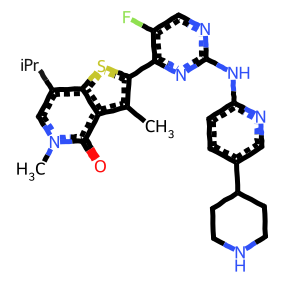 Cc1c(-c2nc(Nc3ccc(C4CCNCC4)cn3)ncc2F)sc2c(C(C)C)cn(C)c(=O)c12